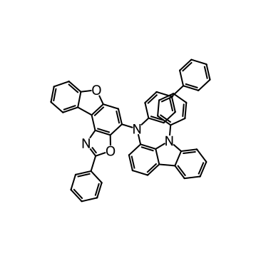 c1ccc(-c2ccc(N(c3cc4oc5ccccc5c4c4nc(-c5ccccc5)oc34)c3cccc4c5ccccc5n(-c5ccccc5)c34)cc2)cc1